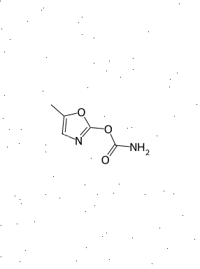 Cc1cnc(OC(N)=O)o1